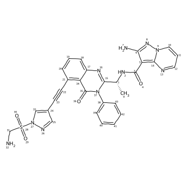 C[C@@H](NC(=O)c1c(N)nn2cccnc12)c1nc2cccc(C#Cc3cnn(S(=O)(=O)CN)c3)c2c(=O)n1-c1ccccc1